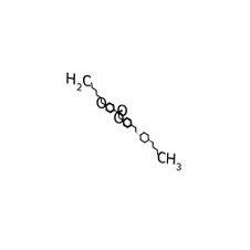 C=CCCCCOc1ccc(C(=O)Oc2ccc(CC[C@H]3CC[C@H](CCCCC)CC3)cc2)cc1